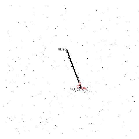 CCCCCCCCCCCCCCCCCCCCCCCCCCCCCCCCCCOC(=O)CC(O)(CC(=O)O)C(=O)O